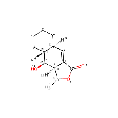 C[C@H]1OC(=O)C2=C[C@@H]3CCCC[C@H]3[C@H](O)[C@@H]21